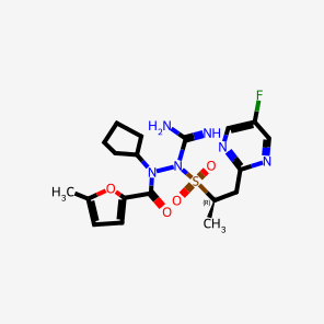 Cc1ccc(C(=O)N(C2CCCC2)N(C(=N)N)S(=O)(=O)[C@H](C)Cc2ncc(F)cn2)o1